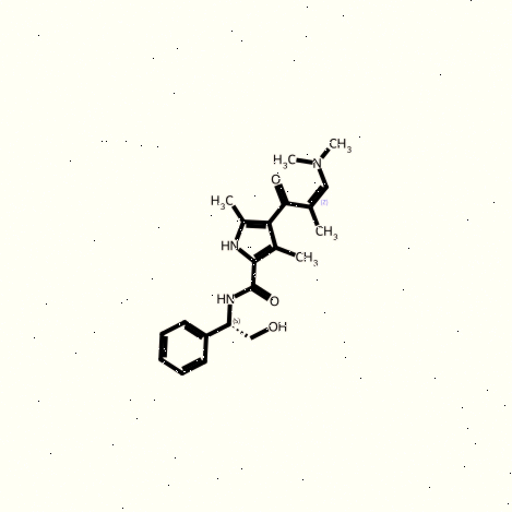 C/C(=C/N(C)C)C(=O)c1c(C)[nH]c(C(=O)N[C@H](CO)c2ccccc2)c1C